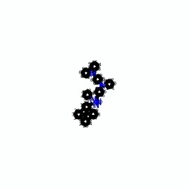 c1ccc(N(c2ccc(-c3nnc(-c4ccc5c(c4)C4(c6ccccc6-c6ccccc64)c4ccccc4-5)n3-c3ccccc3)cc2)c2ccc(-n3c4ccccc4c4ccccc43)cc2)cc1